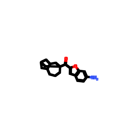 Nc1ccc2cc(C(=O)C34CCCC5CC(CC5C3)C4)oc2c1